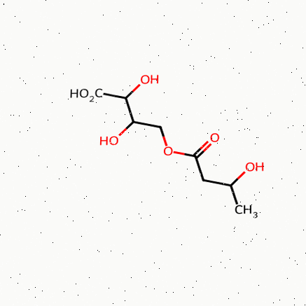 CC(O)CC(=O)OCC(O)C(O)C(=O)O